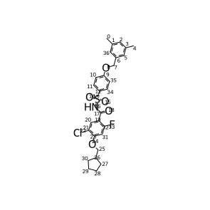 Cc1cc(C)cc(COc2ccc(S(=O)(=O)NC(=O)c3cc(Cl)c(OCC4CCCC4)cc3F)cc2)c1